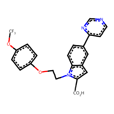 O=C(O)c1cc2cc(-c3ccncn3)ccc2n1CCOc1ccc(OC(F)(F)F)cc1